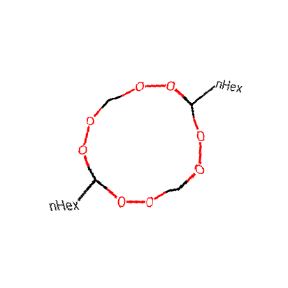 CCCCCCC1OOCOOC(CCCCCC)OOCOO1